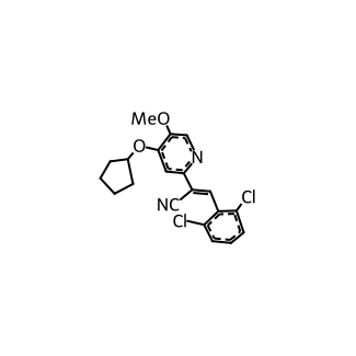 COc1cnc(C(C#N)=Cc2c(Cl)cccc2Cl)cc1OC1CCCC1